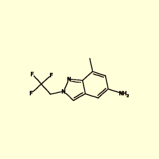 Cc1cc(N)cc2cn(CC(F)(F)F)nc12